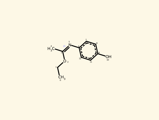 CCO/C(C)=N\c1ccc(O)cc1